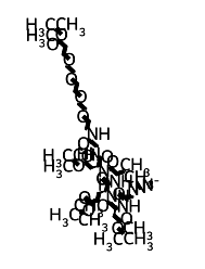 CC(C)[C@H](NC(=O)[C@H](CCC(=O)OC(C)(C)C)NC(=O)[C@H](CC(=O)OC(C)(C)C)NC(=O)CN=[N+]=[N-])C(=O)N[C@@H](CC(=O)OC(C)(C)C)C(=O)NCC(=O)NCCOCCOCCOCCOCCC(=O)OC(C)(C)C